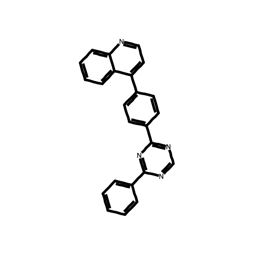 c1ccc(-c2ncnc(-c3ccc(-c4ccnc5ccccc45)cc3)n2)cc1